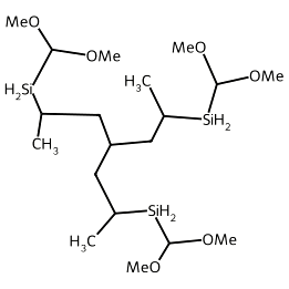 COC(OC)[SiH2]C(C)CC(CC(C)[SiH2]C(OC)OC)CC(C)[SiH2]C(OC)OC